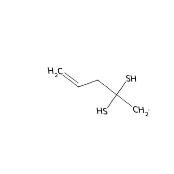 [CH2]C(S)(S)CC=C